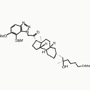 COCCCC[C@@](C)(O)C[C@@H]1CC[C@@H]2[C@H](CC[C@]3(C)[C@@H](C(=O)Cn4nnc5ccc(OC)c(OC)c54)CC[C@@H]23)C1